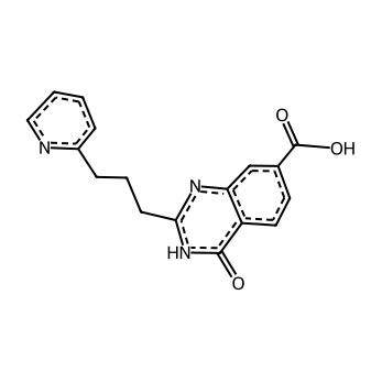 O=C(O)c1ccc2c(=O)[nH]c(CCCc3ccccn3)nc2c1